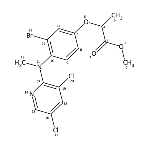 COC(=O)C(C)Oc1ccc(N(C)c2ncc(Cl)cc2Cl)c(Br)c1